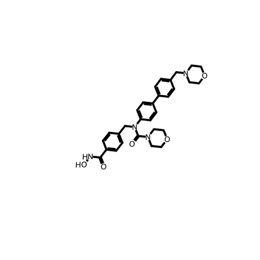 O=C(NO)c1ccc(CN(C(=O)N2CCOCC2)c2ccc(-c3ccc(CN4CCOCC4)cc3)cc2)cc1